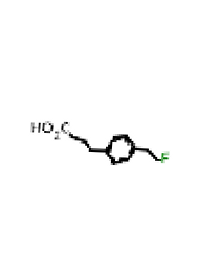 O=C(O)CCCc1ccc(CCF)cc1